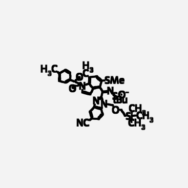 CSc1cc(C)c2c(ccn2S(=O)(=O)c2ccc(C)cc2)c1C(=N[S+]([O-])C(C)(C)C)c1nc2cc(C#N)ccc2n1COCC[Si](C)(C)C